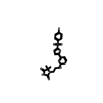 CC1(C)C(=O)NC(=O)N1CCNc1nccc(-c2ccc(S(=O)(=O)c3ccc(F)cc3)s2)n1